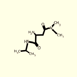 CC(C)NC(=O)C(N)CC(=O)N(C)C